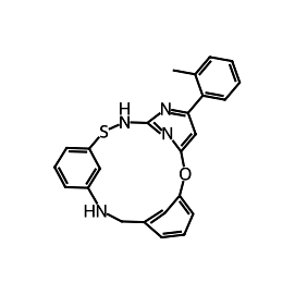 Cc1ccccc1-c1cc2nc(n1)NSc1cccc(c1)NCc1cccc(c1)O2